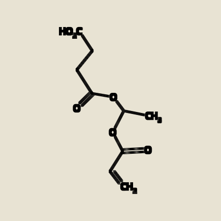 C=CC(=O)OC(C)OC(=O)CCC(=O)O